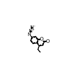 CCc1cc(=O)oc2cc(N=[N+]=[N-])ccc12